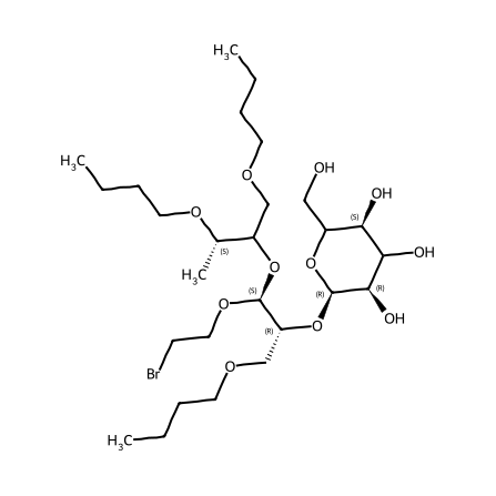 CCCCOCC(O[C@H](OCCBr)[C@@H](COCCCC)O[C@H]1OC(CO)[C@@H](O)C(O)[C@H]1O)[C@H](C)OCCCC